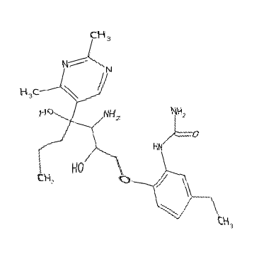 CCCC(O)(c1cnc(C)nc1C)C(N)C(O)COc1ccc(CC)cc1NC(N)=O